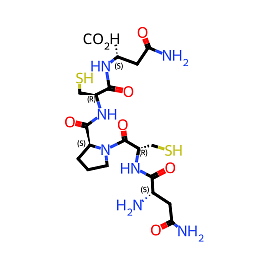 NC(=O)C[C@H](NC(=O)[C@H](CS)NC(=O)[C@@H]1CCCN1C(=O)[C@H](CS)NC(=O)[C@@H](N)CC(N)=O)C(=O)O